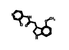 COc1cccc2c1C(CC(=O)Nc1ccncc1Cl)CN2